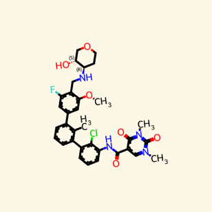 COc1cc(-c2cccc(-c3cccc(NC(=O)c4cn(C)c(=O)n(C)c4=O)c3Cl)c2C)cc(F)c1CN[C@@H]1CCOC[C@H]1O